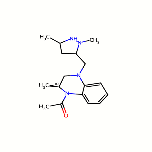 CC(=O)N1c2ccccc2N(CC2CC(C)NN2C)C[C@@H]1C